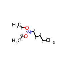 CCCCCN(OCC)OCC